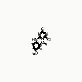 COc1ccc(Nc2nc(Cl)nc(Cl)n2)c(OC)c1